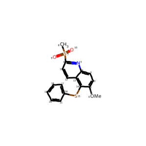 COc1ccc2nc(S(C)(=O)=O)ccc2c1Sc1ccccc1